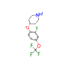 Fc1cc(OC(F)(F)F)ccc1OC1CCNCC1